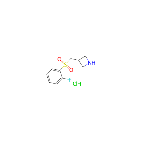 Cl.O=S(=O)(CC1CNC1)c1ccccc1F